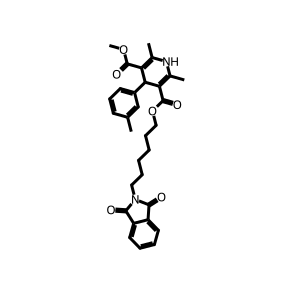 COC(=O)C1=C(C)NC(C)=C(C(=O)OCCCCCCN2C(=O)c3ccccc3C2=O)C1c1cccc(C)c1